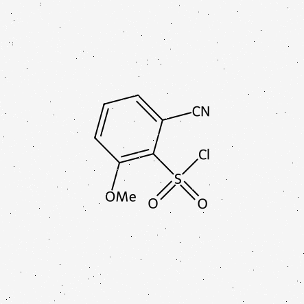 COc1cccc(C#N)c1S(=O)(=O)Cl